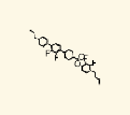 CCCCc1ccc(OC(=O)C2CCC(c3ccc(-c4ccc(CCC)cc4)c(F)c3F)CC2)c(F)c1F